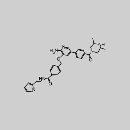 CC1CN(C(=O)c2ccc(-c3cnc(N)c(OCc4ccc(C(=O)NCCc5ccccn5)cc4)c3)cc2)CC(C)N1